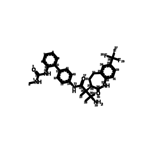 CNC(=O)Nc1ccccc1-c1ccc(NC(=O)C(C)([C@H]2CCc3cc(C(F)(F)F)ccc3NC2=O)C(C)(C)N)cc1